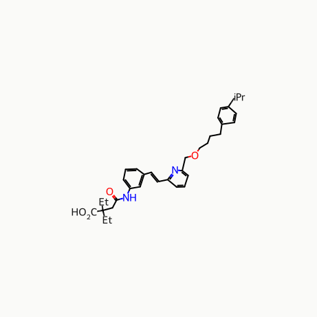 CCC(CC)(CC(=O)Nc1cccc(C=Cc2cccc(COCCCCc3ccc(C(C)C)cc3)n2)c1)C(=O)O